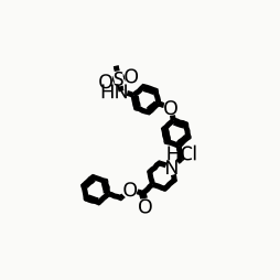 CS(=O)(=O)Nc1ccc(Oc2ccc(CN3CCC(C(=O)OCc4ccccc4)CC3)cc2)cc1.Cl